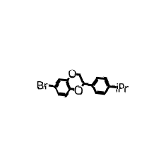 CC(C)c1ccc(C2COc3cc(Br)ccc3O2)cc1